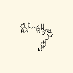 CCN1CCN(CCc2cccc(NC(=O)Nc3ncc(CCNc4ncnc5ccsc45)s3)c2)CC1